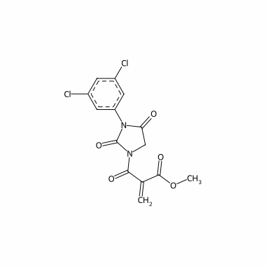 C=C(C(=O)OC)C(=O)N1CC(=O)N(c2cc(Cl)cc(Cl)c2)C1=O